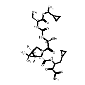 CC(OC(=O)[C@H](CC(C)(C)C)NC(=O)N[C@H](C(=O)N1C[C@H]2[C@@H]([C@H]1C(=O)NC(CC1CC1)C(=O)C(N)=O)C2(C)C)C(C)(C)C)C1CC1